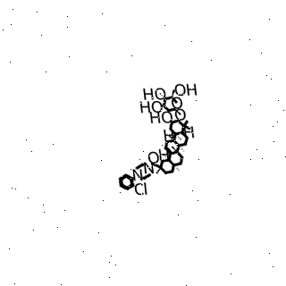 CC1(C)[C@@H](O[C@@H]2O[C@H](CO)[C@@H](O)[C@H](O)[C@H]2O)CC[C@]2(C)[C@H]3CC=C4[C@@H]5C[C@@](C)(C(=O)N6CCN(c7ccccc7Cl)CC6)CC[C@]5(C)CC[C@@]4(C)[C@]3(C)CC[C@@H]12